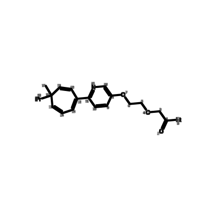 CCC(=O)COCCOc1ccc(C2=CC=CC(C)(C(C)C)C=C2)nc1